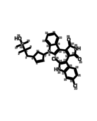 CC(C)(CC1C=CC(n2cc(C3=C(c4c(Cl)[nH]c5cc(Cl)ccc45)C(=O)NC3=O)c3ccccc32)C1)[Si](C)(C)O